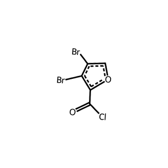 O=C(Cl)c1occ(Br)c1Br